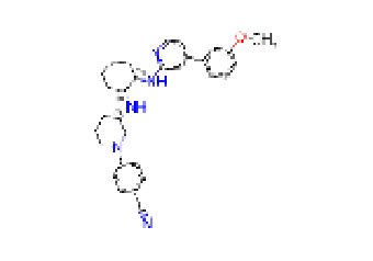 COc1cccc(-c2ccnc(N[C@@H]3CCCC[C@H]3N[C@H]3CCCN(c4ccc(C#N)cc4)C3)c2)c1